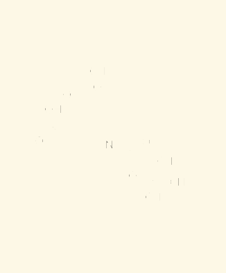 COC(=O)[C@@H]1CN(C(=O)OC(C)(C)C)CC[C@@H]1C(=O)O